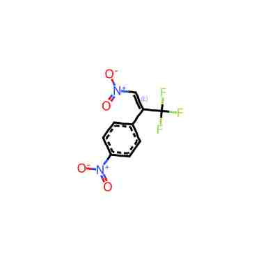 O=[N+]([O-])/C=C(\c1ccc([N+](=O)[O-])cc1)C(F)(F)F